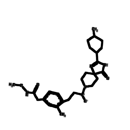 CONC(=O)Cc1ccc(CC[S+]([O-])N2CCC3(CC2)N=C(C2CCC(C)CC2)NC3=O)c(C)c1